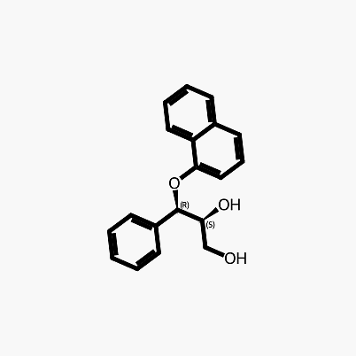 OC[C@H](O)[C@H](Oc1cccc2ccccc12)c1ccccc1